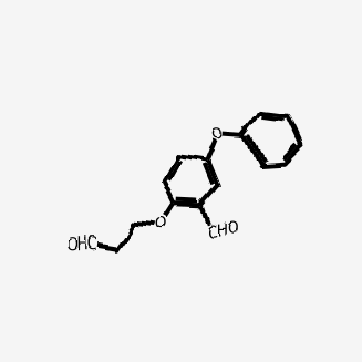 O=CCCOc1ccc(Oc2ccccc2)cc1C=O